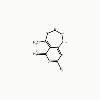 C=c1cc(Br)cc2c1=C(C)CCCO2